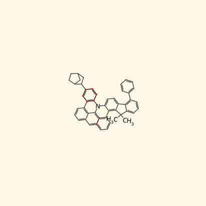 CC1(C)c2cccc(-c3ccccc3)c2-c2ccc(N(c3ccc(C4CC5CCC4C5)cc3)c3cccc4cccc(C5CCCCC5)c34)c(-c3ccccc3)c21